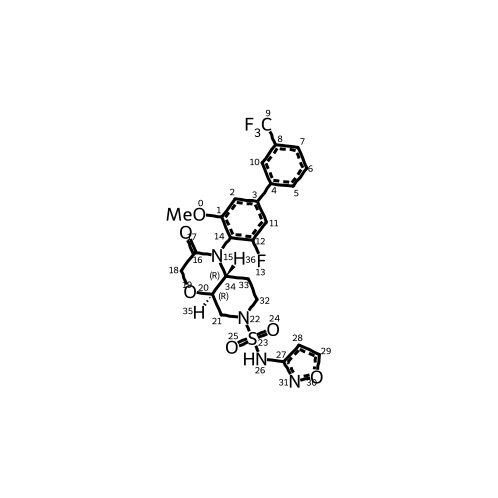 COc1cc(-c2cccc(C(F)(F)F)c2)cc(F)c1N1C(=O)CO[C@@H]2CN(S(=O)(=O)Nc3ccon3)CC[C@H]21